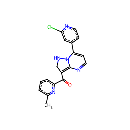 Cc1cccc(C(=O)C2=C3N=CC=C(c4ccnc(Cl)c4)N3NC2)n1